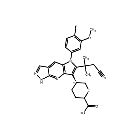 COc1cc(-n2c(C(C)(C)CC#N)c([C@@H]3CCC(C(=O)O)OC3)c3nc4[nH]ncc4cc32)ccc1F